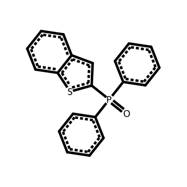 O=P(c1ccccc1)(c1ccccc1)c1cc2ccccc2s1